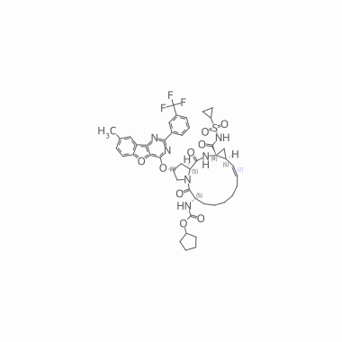 Cc1ccc2oc3c(O[C@@H]4C[C@H]5C(=O)N[C@]6(C(=O)NS(=O)(=O)C7CC7)C[C@H]6/C=C\CCCCC[C@H](NC(=O)OC6CCCC6)C(=O)N5C4)nc(-c4cccc(C(F)(F)F)c4)nc3c2c1